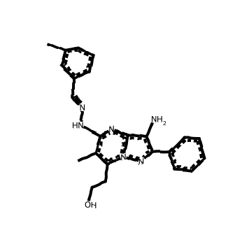 Cc1cccc(C=NNc2nc3c(N)c(-c4ccccc4)nn3c(CCO)c2C)c1